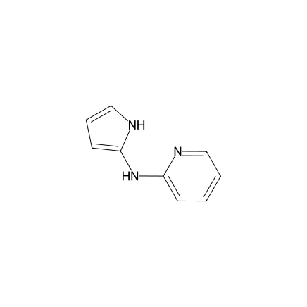 c1ccc(Nc2ccc[nH]2)nc1